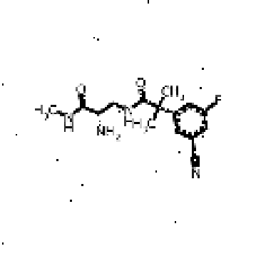 CNC(=O)[C@@H](N)CNC(=O)C(C)(C)c1cc(F)cc(C#N)c1